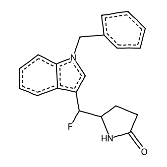 O=C1CCC(C(F)c2cn(Cc3ccccc3)c3ccccc23)N1